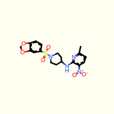 Cc1ccc([N+](=O)[O-])c(NC2CCN(S(=O)(=O)c3ccc4c(c3)OCO4)CC2)n1